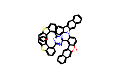 c1ccc2cc3c(cc2c1)oc1ccc(-n2c4ccccc4c4cc5ccccc5cc42)c(-c2nc(-c4cccc5sc6ccccc6c45)nc(-c4cccc5sc6ccccc6c45)n2)c13